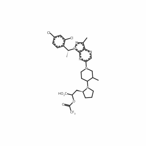 Cc1nn([C@H](C)c2ccc(Cl)cc2Cl)c2nc(N3CCC(N4CCC[C@H]4CC(OC(=O)C(F)(F)F)C(=O)O)C(C)C3)cnc12